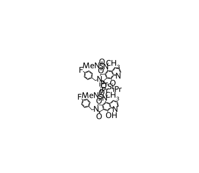 CNS(=O)(=O)N(C)c1c2c(c(O)c3ncccc13)C(=O)N(Cc1ccc(F)cc1)C2.CNS(=O)(=O)N(C)c1c2c(c(O[Si](C(C)C)(C(C)C)C(C)C)c3ncccc13)C(=O)N(Cc1ccc(F)cc1)C2